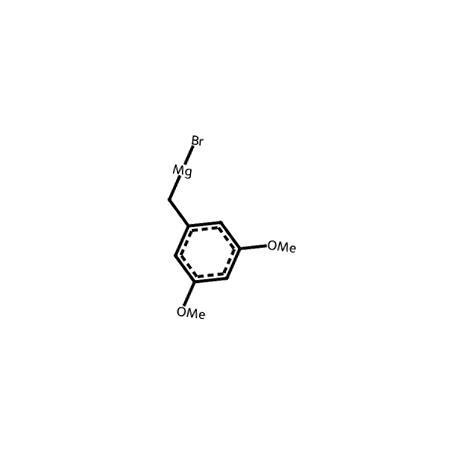 COc1cc([CH2][Mg][Br])cc(OC)c1